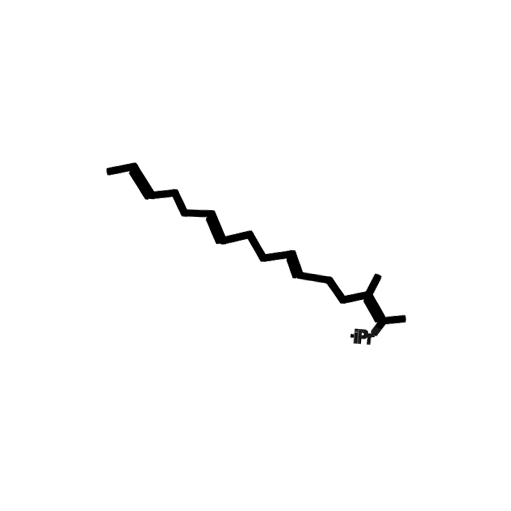 CC=CCCC=CCCC=CCCC(C)=C(C)[C](C)C